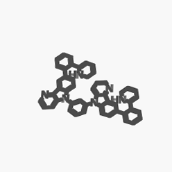 C1=CCNC(c2ccccc2-c2ccc3c(c2)c2ncccc2n3-c2cccc(-n3c4ccc(-c5ccccc5C5=CC=CCN5)cc4c4ncccc43)c2)=C1